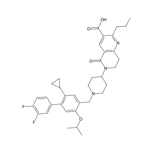 CCCc1nc2c(cc1C(=O)O)C(=O)N(C1CCN(Cc3cc(C4CC4)c(-c4ccc(F)c(F)c4)cc3OC(C)C)CC1)CC2